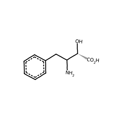 NC(Cc1ccccc1)[C@H](O)C(=O)O